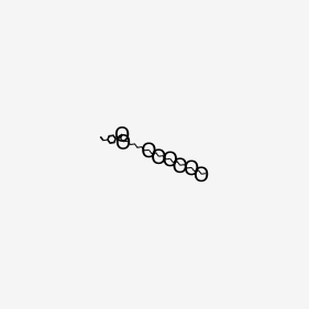 C=Cc1ccc(C(=O)OCCCCCCOCCOCCOCCOCCOCCOC)cc1